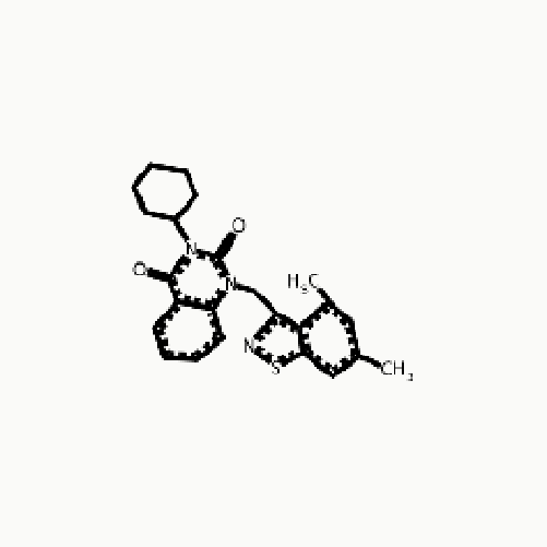 Cc1cc(C)c2c(Cn3c(=O)n([C]4CCCCC4)c(=O)c4ccccc43)nsc2c1